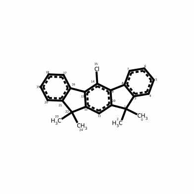 CC1(C)c2ccccc2-c2c1cc1c(c2Cl)-c2ccccc2C1(C)C